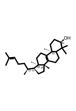 CC(C)=CCC[C@H](C)[C@@H]1CC[C@@]2(C)C3=C(CC[C@]12C)[C@@]1(C)CC[C@@H](O)C(C)(C)C1CC3